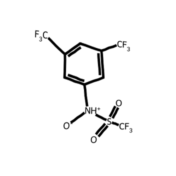 O=S(=O)([NH+]([O-])c1cc(C(F)(F)F)cc(C(F)(F)F)c1)C(F)(F)F